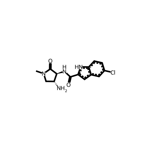 CN1C[C@@H](N)[C@H](NC(=O)c2cc3cc(Cl)ccc3[nH]2)C1=O